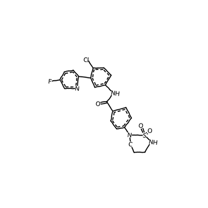 O=C(Nc1ccc(Cl)c(-c2ccc(F)cn2)c1)c1ccc(N2CCCNS2(=O)=O)cc1